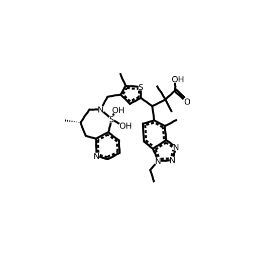 CCn1nnc2c(C)c(C(c3cc(CN4C[C@@H](C)Cc5ncccc5S4(O)O)c(C)s3)C(C)(C)C(=O)O)ccc21